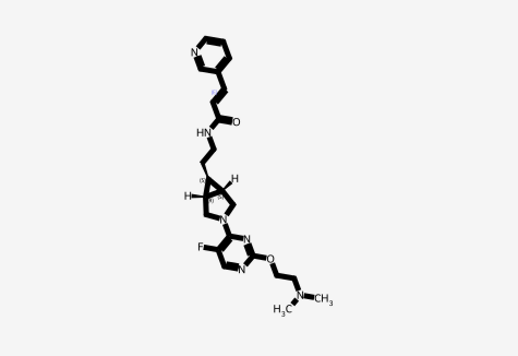 CN(C)CCOc1ncc(F)c(N2C[C@@H]3[C@@H](CCNC(=O)/C=C/c4cccnc4)[C@@H]3C2)n1